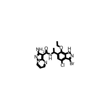 CCOc1c(C(C)NC(=O)c2c(N)nn3cccnc23)cc(Cl)c2c(Br)n[nH]c12